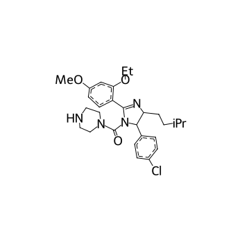 CCOc1cc(OC)ccc1C1=NC(CCC(C)C)C(c2ccc(Cl)cc2)N1C(=O)N1CCNCC1